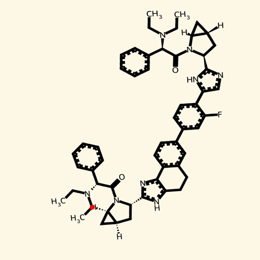 CCN(CC)[C@@H](C(=O)N1[C@@H]2C[C@@H]2C[C@H]1c1ncc(-c2ccc(-c3ccc4c(c3)CCc3[nH]c([C@@H]5C[C@H]6C[C@H]6N5C(=O)[C@@H](c5ccccc5)N(CC)CC)nc3-4)cc2F)[nH]1)c1ccccc1